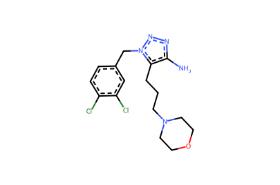 Nc1nnn(Cc2ccc(Cl)c(Cl)c2)c1CCCN1CCOCC1